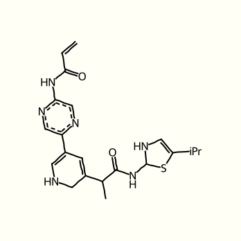 C=CC(=O)Nc1cnc(C2=CNCC(C(C)C(=O)NC3NC=C(C(C)C)S3)=C2)cn1